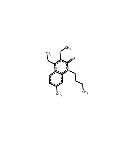 CCCCn1c(=O)c(OC)c(OC)c2ccc(N)cc21